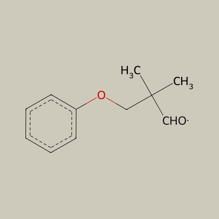 CC(C)([C]=O)COc1ccccc1